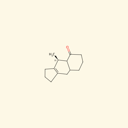 C[C@@H]1C2=C(CCC2)CC2CCCC(=O)C21